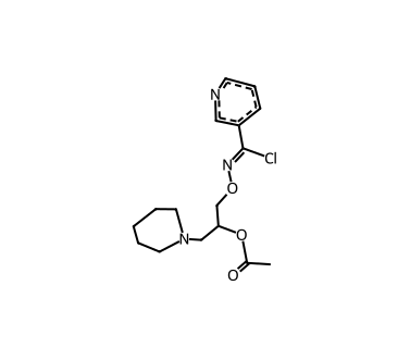 CC(=O)OC(CO/N=C(\Cl)c1cccnc1)CN1CCCCC1